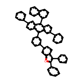 c1ccc(-c2ccc3c(-c4cccc5ccccc45)c4cc(-c5ccccc5)ccc4c(-c4cccc(-c5ccc6c(-c7ccccc7)c(-c7ccccc7)oc6c5)c4)c3c2)cc1